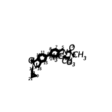 CN1C(=O)N(Cc2ccc(-c3ccc4c(c3)CN(CC3CC3)C4=O)cc2)C(C)(C)C1=O